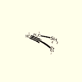 C#CCC.C[SiH3]